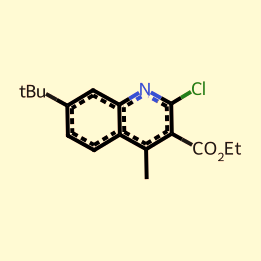 CCOC(=O)c1c(Cl)nc2cc(C(C)(C)C)ccc2c1C